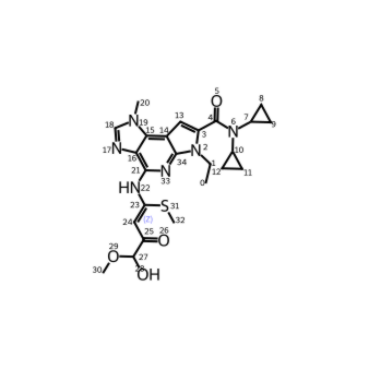 CCn1c(C(=O)N(C2CC2)C2CC2)cc2c3c(ncn3C)c(N/C(=C/C(=O)C(O)OC)SC)nc21